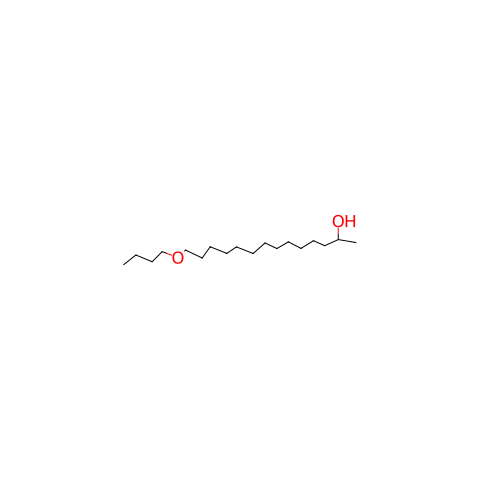 CCCCOCCCCCCCCCCCCC(C)O